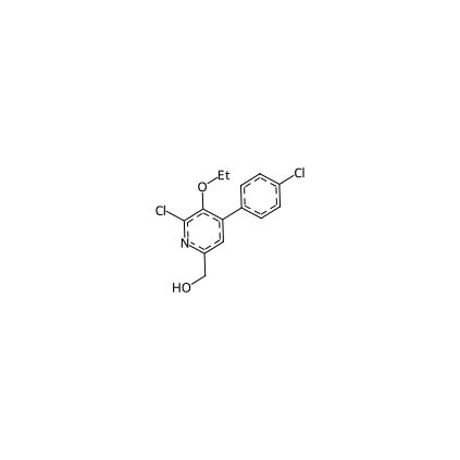 CCOc1c(-c2ccc(Cl)cc2)cc(CO)nc1Cl